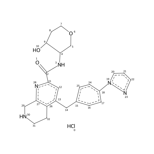 Cl.O=C(NC1COCCC1O)c1cc(Cc2ccc(-n3cccn3)cc2)c2c(n1)CNCC2